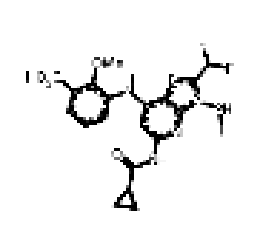 COc1c(Nc2cc(NC(=O)C3CC3)nc3c2nc(C(F)F)n3PI)cccc1C(=O)O